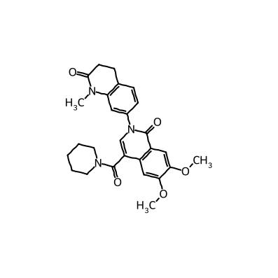 COc1cc2c(C(=O)N3CCCCC3)cn(-c3ccc4c(c3)N(C)C(=O)CC4)c(=O)c2cc1OC